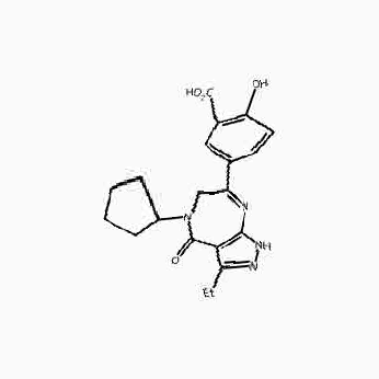 CCc1n[nH]c2c1C(=O)N(C1CCCC1)CC(c1ccc(O)c(C(=O)O)c1)=N2